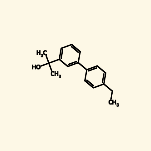 CCc1ccc(-c2cccc(C(C)(C)O)c2)cc1